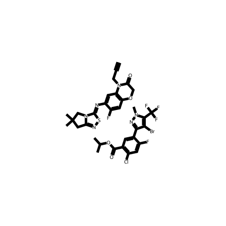 C#CCN1C(=O)COc2cc(F)c(/N=c3\snc4n3CC(C)(C)C4)cc21.CC(C)OC(=O)c1cc(-c2nn(C)c(C(F)(F)F)c2Br)c(F)cc1Cl